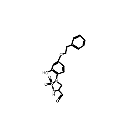 O=CC1CN(c2ccc(OCCc3ccccc3)cc2O)S(=O)(=O)N1